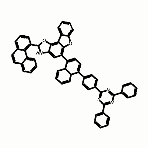 C1=CC2C(c3ccc(-c4nc(-c5ccccc5)nc(-c5ccccc5)n4)cc3)=CC=C(c3cc4c(c5c3oc3ccccc35)OC(c3cccc5ccc6ccccc6c35)N4)C2C=C1